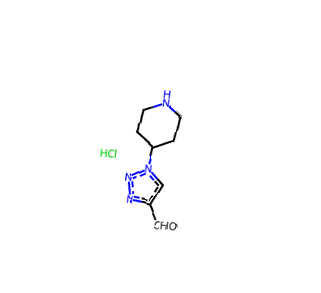 Cl.O=Cc1cn(C2CCNCC2)nn1